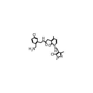 Cc1ccn(NCc2c(C)nn(C)c2Cl)c(=O)c1CC(=O)NCc1cc(Cl)ccc1CN